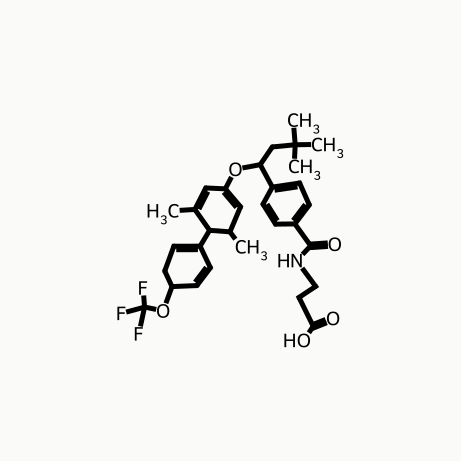 CC1=CC(OC(CC(C)(C)C)c2ccc(C(=O)NCCC(=O)O)cc2)=CC(C)C1C1=CCC(OC(F)(F)F)C=C1